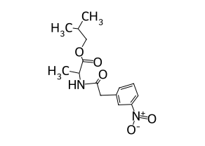 CC(C)COC(=O)C(C)NC(=O)Cc1cccc([N+](=O)[O-])c1